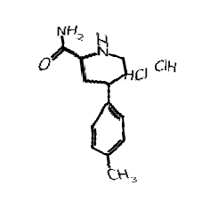 Cc1ccc(C2CCNC(C(N)=O)C2)cc1.Cl.Cl